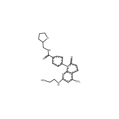 Cc1nc(NCCO)nc2c1ccc(=O)n2-c1ccc(C(=O)NCC2CCCO2)cc1